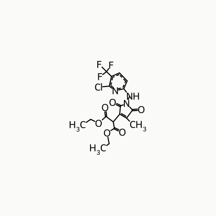 CCOC(=O)C(C(=O)OCC)C1=C(C)C(=O)N(Nc2ccc(C(F)(F)F)c(Cl)n2)C1=O